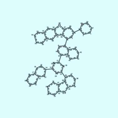 c1ccc(-c2cc(-c3ccc(-c4nc(-c5ccc6ccccc6c5)nc(-c5cccc6sc7ccccc7c56)n4)c4ccccc34)c3c(c2)oc2cc4ccccc4cc23)cc1